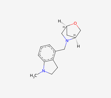 CN1CCc2c(CN3C[C@@H]4C[C@H]3CO4)cccc21